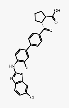 O=C(O)[C@@H]1CCC[C@H]1C(=O)c1ccc(-c2ccc(Nc3nc4ccc(Cl)cc4s3)c(F)c2)cc1